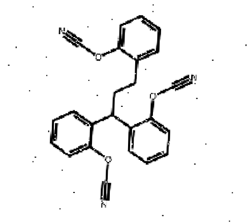 N#COc1ccccc1CCC(c1ccccc1OC#N)c1ccccc1OC#N